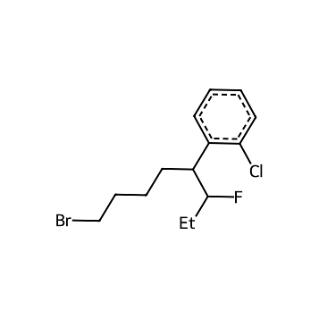 CCC(F)C(CCCCBr)c1ccccc1Cl